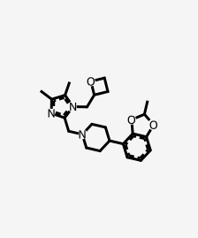 Cc1nc(CN2CCC(c3cccc4c3OC(C)O4)CC2)n(CC2CCO2)c1C